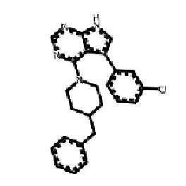 Clc1cccc(-c2c[nH]c3ncnc(N4CCC(Cc5ccccc5)CC4)c23)c1